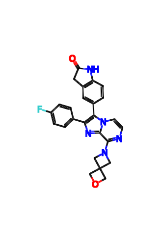 O=C1Cc2cc(-c3c(-c4ccc(F)cc4)nc4c(N5CC6(COC6)C5)nccn34)ccc2N1